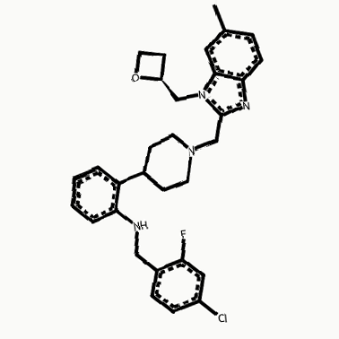 Cc1ccc2nc(CN3CCC(c4ccccc4NCc4ccc(Cl)cc4F)CC3)n(C[C@@H]3CCO3)c2c1